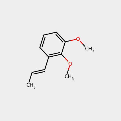 CC=Cc1cccc(OC)c1OC